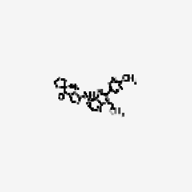 CCn1c(-c2cnc(C)nc2)nc2c(N[C@H]3CCN(C(=O)C4(C#N)CCCC4)C3)ncnc21